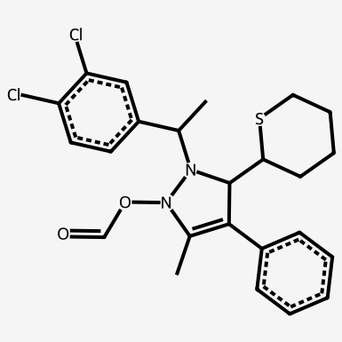 CC1=C(c2ccccc2)C(C2CCCCS2)N(C(C)c2ccc(Cl)c(Cl)c2)N1OC=O